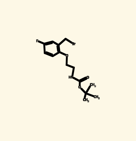 CC(C)(C)OC(=O)NCCOc1ccc(F)cc1CBr